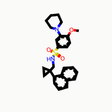 COc1ccc(S(=O)(=O)NCC2(c3cccc4ccccc34)CC2)cc1N1CCCCC1